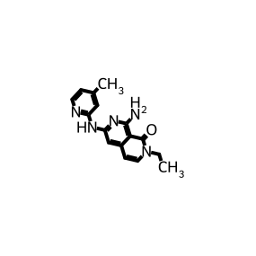 CCn1ccc2cc(Nc3cc(C)ccn3)nc(N)c2c1=O